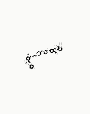 COc1cc2ncnc(Nc3ccc(F)c(Cl)c3)c2cc1OCCCN1CCC(CN2CCCC(Nc3ccc4c(c3)C(=O)N(C3CCC(=O)NC3=O)C4=O)C2)CC1